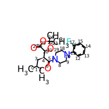 CC(C)C[C@H](C(=O)N1CCN(c2ccccc2F)CC1)[C@@H]1OC(C)(C)OC1=O